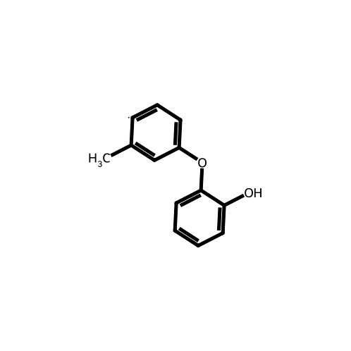 Cc1[c]ccc(Oc2ccccc2O)c1